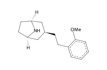 COc1ccccc1CC[C@H]1C[C@H]2CC[C@@H](C1)N2